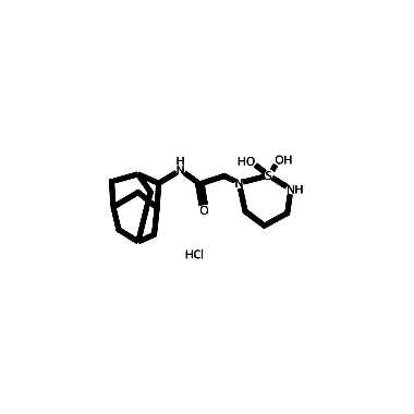 Cl.O=C(CN1CCCNS1(O)O)NC1C2CC3CC(C2)CC1C3